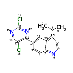 CC(C)c1ccnc2ccc(-c3nc(Cl)ncc3Cl)cc12